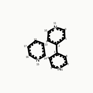 c1cc(-c2ccncc2)ccn1.c1ccncc1